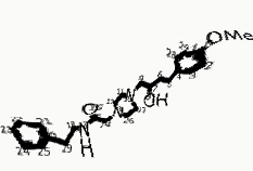 COc1ccc(CCC(O)CN2CCN(CC(=O)NCCc3ccccc3)CC2)cc1